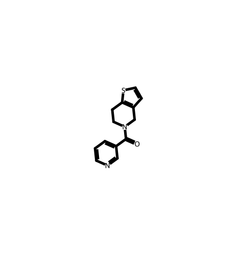 O=C(c1cccnc1)N1CCc2sccc2C1